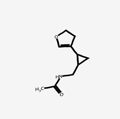 CC(=O)NCC1CC1C1=COCC1